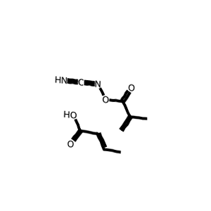 C=C(C)C(=O)ON=C=N.CC=CC(=O)O